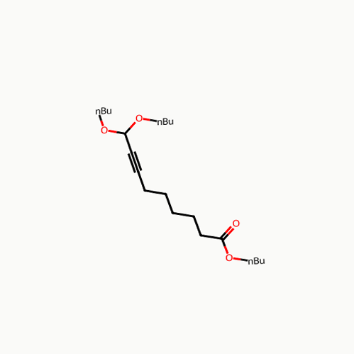 CCCCOC(=O)CCCCCC#CC(OCCCC)OCCCC